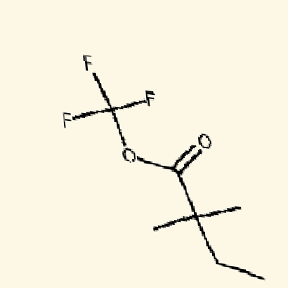 CCC(C)(C)C(=O)OC(F)(F)F